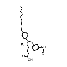 CCCCCCCCCc1ccc(C(Sc2cccc(NC(C)=O)c2)C(O)CCCC(=O)O)cc1